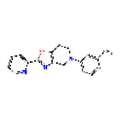 Cc1cccc(N2CCc3oc(-c4ccccn4)nc3C2)c1